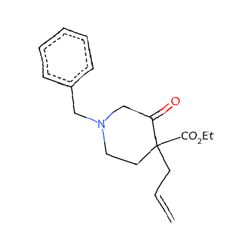 C=CCC1(C(=O)OCC)CCN(Cc2ccccc2)CC1=O